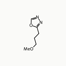 COCCCc1nnco1